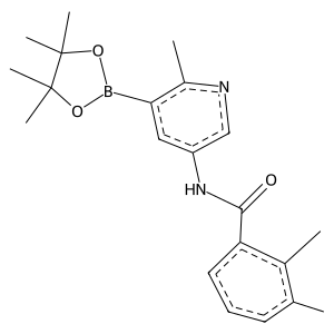 Cc1cccc(C(=O)Nc2cnc(C)c(B3OC(C)(C)C(C)(C)O3)c2)c1C